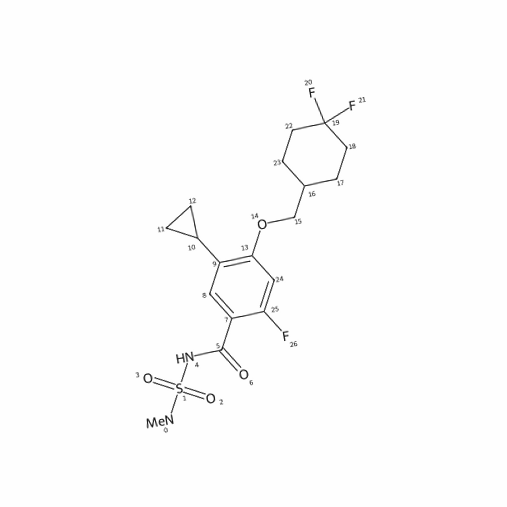 CNS(=O)(=O)NC(=O)c1cc(C2CC2)c(OCC2CCC(F)(F)CC2)cc1F